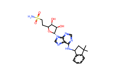 CC1(C)CC(Nc2ncnc3c2ncn3[C@@H]2OC(CCS(N)(=O)=O)[C@@H](O)[C@H]2O)c2ccccc21